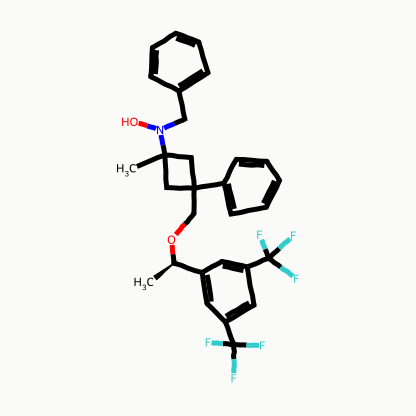 C[C@@H](OCC1(c2ccccc2)CC(C)(N(O)Cc2ccccc2)C1)c1cc(C(F)(F)F)cc(C(F)(F)F)c1